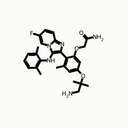 Cc1cccc(C)c1Nc1c(-c2c(C)cc(OC(C)(C)CN)cc2OCC(N)=O)nc2ccc(F)cn12